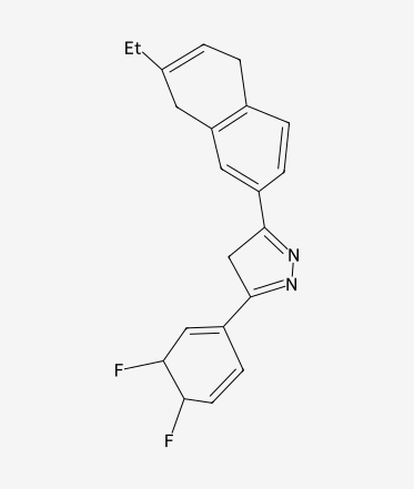 CCC1=CCc2ccc(C3=NN=C(C4=CC(F)C(F)C=C4)C3)cc2C1